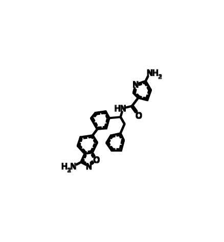 Nc1ccc(C(=O)NC(Cc2ccccc2)c2cccc(-c3ccc4c(N)noc4c3)c2)cn1